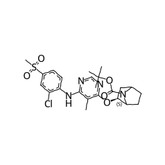 Cc1c(Nc2ccc(S(C)(=O)=O)cc2Cl)ncnc1O[C@H]1CC2CCC1N2C(=O)OC(C)(C)C